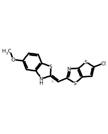 COc1ccc2c(c1)N/C(=C/c1nc3sc(Cl)cc3s1)S2